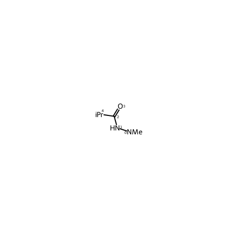 CNNC(=O)C(C)C